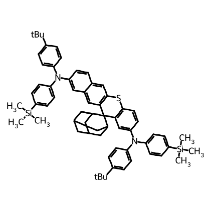 CC(C)(C)c1ccc(N(c2ccc([Si](C)(C)C)cc2)c2ccc3c(c2)C2(c4cc5cc(N(c6ccc(C(C)(C)C)cc6)c6ccc([Si](C)(C)C)cc6)ccc5cc4S3)C3CC4CC(C3)CC2C4)cc1